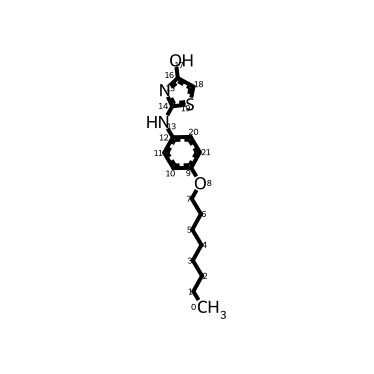 CCCCCCCCOc1ccc(Nc2nc(O)cs2)cc1